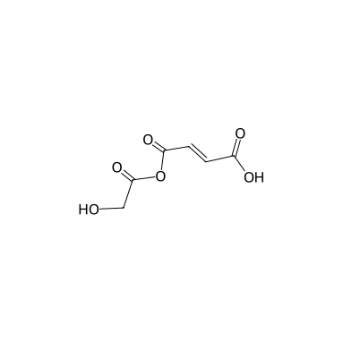 O=C(O)/C=C/C(=O)OC(=O)CO